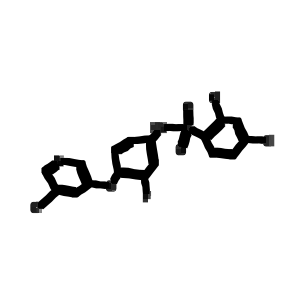 O=S(=O)(Nc1ccc(Oc2cncc(Cl)c2)c(F)c1)c1ccc(Cl)cc1Cl